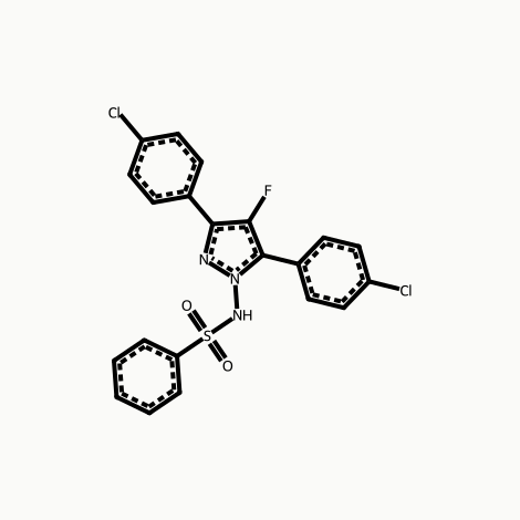 O=S(=O)(Nn1nc(-c2ccc(Cl)cc2)c(F)c1-c1ccc(Cl)cc1)c1ccccc1